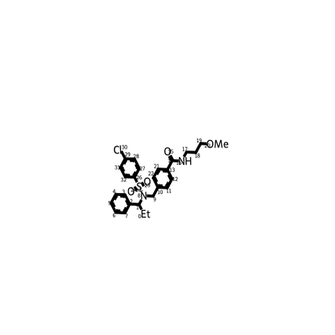 CCC(c1ccccc1)N(Cc1ccc(C(=O)NCCCOC)cc1)S(=O)(=O)c1ccc(Cl)cc1